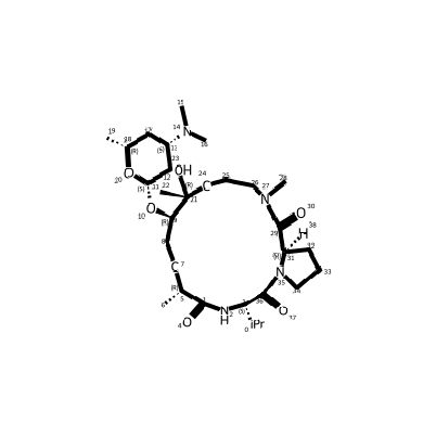 CC(C)[C@@H]1NC(=O)[C@H](C)CC[C@@H](O[C@H]2C[C@@H](N(C)C)C[C@@H](C)O2)[C@](C)(O)CCCN(C)C(=O)[C@H]2CCCN2C1=O